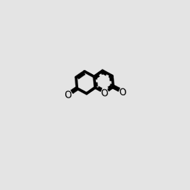 O=C1C=Cc2ccc(=O)oc2C1